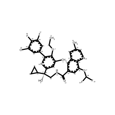 CCOc1c(C)cc([C@@](O)(CNC(=O)c2cc(OC(F)F)c3ncc(C)cc3c2)C2CC2)nc1-c1cc(F)c(F)c(Cl)c1